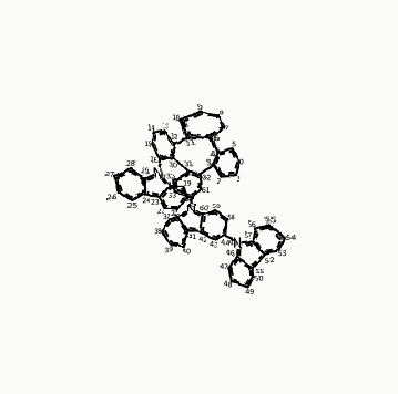 c1ccc2c(c1)-c1ccccc1-c1cccc(-n3c4ccccc4c4ccccc43)c1-c1ccc(-n3c4ccccc4c4cc(-n5c6ccccc6c6ccccc65)ccc43)cc1-2